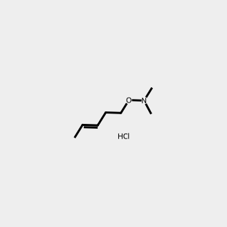 CC=CCCON(C)C.Cl